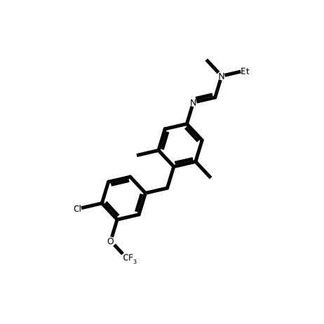 CCN(C)C=Nc1cc(C)c(Cc2ccc(Cl)c(OC(F)(F)F)c2)c(C)c1